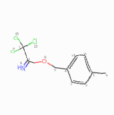 Cc1ccc(COC(=N)C(Cl)(Cl)Cl)cc1